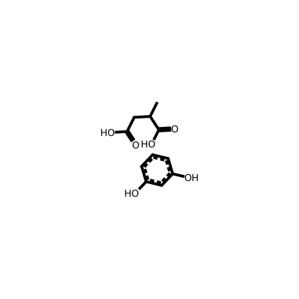 CC(CC(=O)O)C(=O)O.Oc1cccc(O)c1